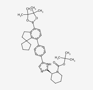 CC(C)(C)OC(=O)N1CCCC[C@H]1c1ncc(-c2ccc(-c3ccc(B4OC(C)(C)C(C)(C)O4)c4c3C3(CCCC3)CC4)cc2)[nH]1